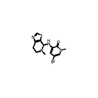 CN1CCc2ncsc2C1Nc1cc(Br)cn(C)c1=O